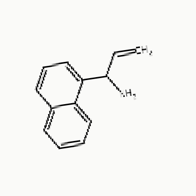 C=CC(N)c1cccc2ccccc12